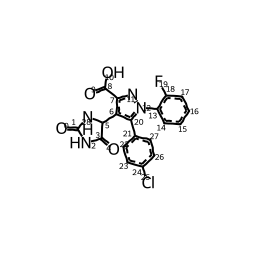 O=C1NC(=O)C(c2c(C(=O)O)nn(-c3ccccc3F)c2-c2ccc(Cl)cc2)N1